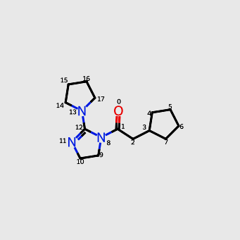 O=C(CC1CCCC1)N1CCN=C1N1CCCC1